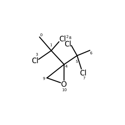 CC(Cl)(Cl)C1(C(C)(Cl)Cl)CO1